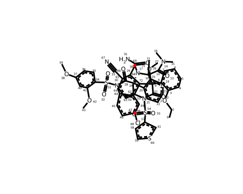 CCOc1ccccc1C1(C(C)(C(=O)N(C)C)N(C)[C@@]2(c3cccnc3OC)C(=O)N(S(=O)(=O)c3ccc(OC)cc3OC)c3ccc(Cl)cc32)C(=O)N(S(=O)(=O)c2ccsc2)c2ccc(C#N)c(C(N)=O)c21